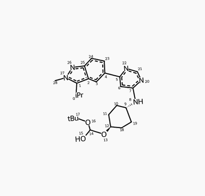 CC(C)c1c2cc(-c3cc(N[C@H]4CC[C@H](OC(O)OC(C)(C)C)CC4)ncn3)ccc2nn1C